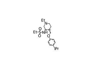 CCN1CC[C@@H](COc2ccc(C(C)C)cc2)[C@H](NS(=O)(=O)CC)C1